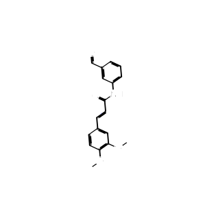 COc1ccc(/C=C/C(=O)Nc2cccc(C=O)c2)cc1OC